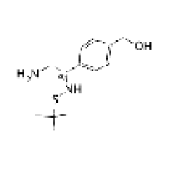 CC(C)(C)SN[C@H](CN)c1ccc(CO)cc1